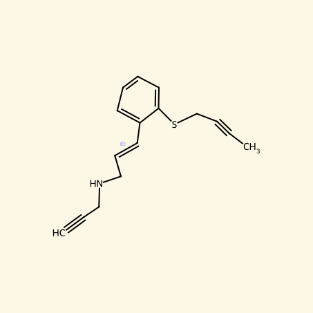 C#CCNC/C=C/c1ccccc1SCC#CC